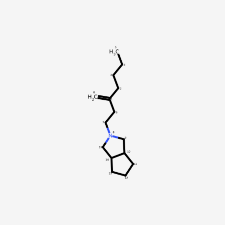 C=C(CCCC)CCN1CC2CCCC2C1